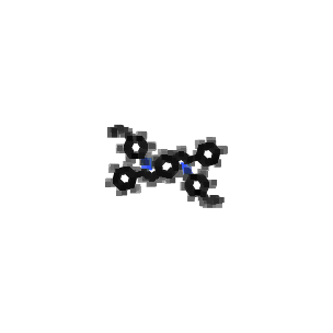 CCCc1ccc(-n2c(-c3ccccc3)cc3cc4c(cc(-c5ccccc5)n4-c4ccc(CCC)cc4)cc32)cc1